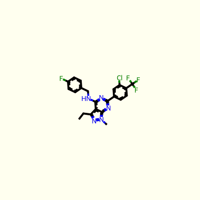 CCc1nn(C)c2nc(-c3ccc(C(F)(F)F)c(Cl)c3)nc(NCc3ccc(F)cc3)c12